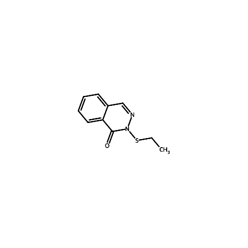 CCSn1ncc2ccccc2c1=O